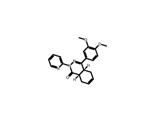 COc1ccc(C2=NN(c3ccccn3)C(=O)[C@H]3CC=CC[C@@H]23)cc1OC